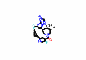 C[C@@H]1CCN(C(=O)c2cc(C3CC3)ncc2F)C[C@H]1c1cc(C(F)F)nc2ncnn12